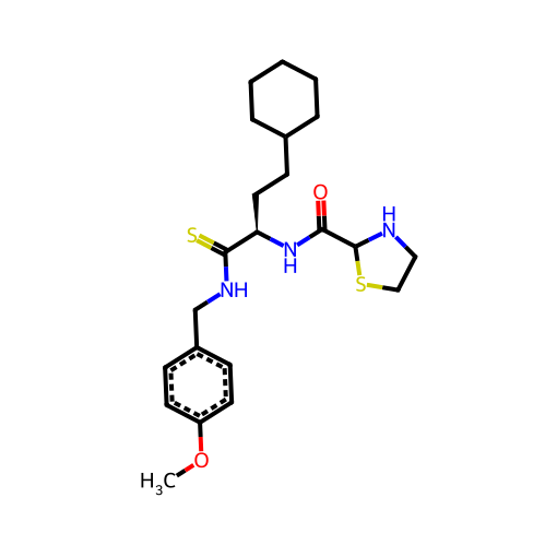 COc1ccc(CNC(=S)[C@@H](CCC2CCCCC2)NC(=O)C2NCCS2)cc1